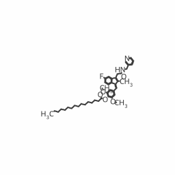 CCCCCCCCCCCCCCCC(=O)Oc1c(OC)cc(/C=C2/C(C)=C(CC(=O)NCc3cccnc3)c3cc(F)ccc32)cc1OC